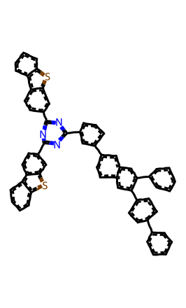 c1ccc(-c2ccc(-c3cc4ccc(-c5cccc(-c6nc(-c7ccc8c(c7)sc7ccccc78)nc(-c7ccc8c(c7)sc7ccccc78)n6)c5)cc4cc3-c3ccccc3)cc2)cc1